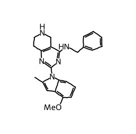 COc1cccc2c1cc(C)n2-c1nc2c(c(NCc3ccccc3)n1)CNCC2